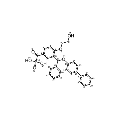 O=C(c1ccc(OCCO)c(C(Oc2ccc(-c3ccccc3)cc2)c2ccccc2)c1)P(=O)(O)O